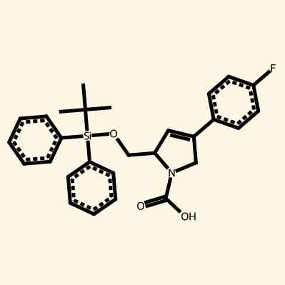 CC(C)(C)[Si](OCC1C=C(c2ccc(F)cc2)CN1C(=O)O)(c1ccccc1)c1ccccc1